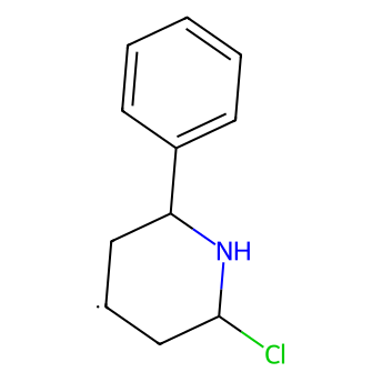 ClC1C[CH]CC(c2ccccc2)N1